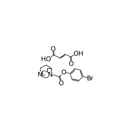 O=C(O)C=CC(=O)O.O=C(Oc1ccc(Br)cc1)N1CCN2CCC1CC2